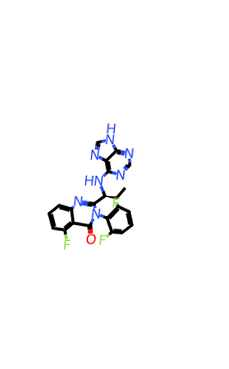 CC[C@H](Nc1ncnc2[nH]cnc12)c1nc2cccc(F)c2c(=O)n1-c1c(F)cccc1F